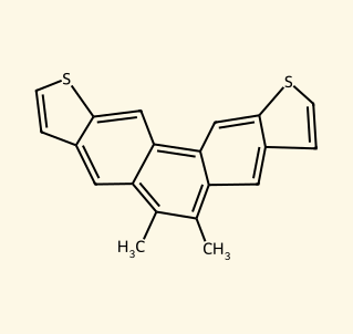 Cc1c(C)c2cc3ccsc3cc2c2cc3sccc3cc12